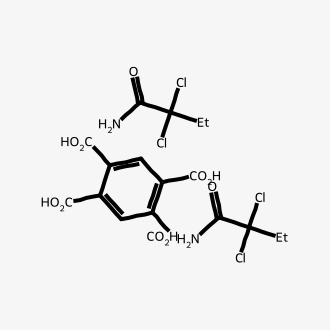 CCC(Cl)(Cl)C(N)=O.CCC(Cl)(Cl)C(N)=O.O=C(O)c1cc(C(=O)O)c(C(=O)O)cc1C(=O)O